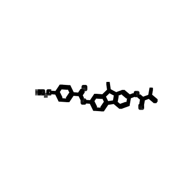 C=C(C)C(=O)Oc1ccc2c(c1)C(C)c1cc(OC(=O)c3ccc(C(=O)O)cc3)ccc1-2